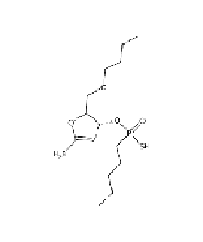 BC1=C[C@@H](OP(=O)(S)CCCCC)C(COCCCC)O1